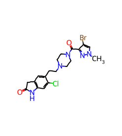 Cn1cc(Br)c(C(=O)N2CCN(CCc3cc4c(cc3Cl)NC(=O)C4)CC2)n1